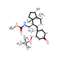 CC[C@H]1CC[C@H]2[C@H](CNC(=O)OC(C)(C)C)[C@@H]([C@@]3(C)CCC(=O)C[C@@H]3CO[Si](C)(C)C(C)(C)C)CC[C@]12C